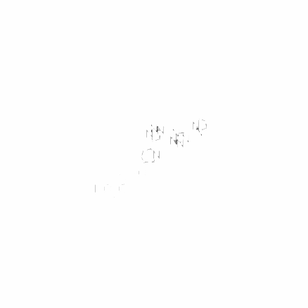 Cc1cc(C)n(Cc2nnn(Cc3c(-c4ccc(O[C@H]5CCC[C@H](C(=O)O)C5)c(C)n4)nnn3C)n2)n1